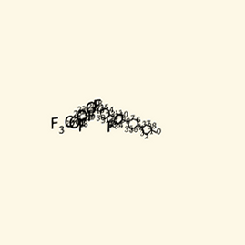 CC1CCC(C2CCC(c3ccc(C4CC=C(C(F)(F)Oc5ccc(OC(F)(F)F)c(F)c5)CC4)c(F)c3)CC2)CC1